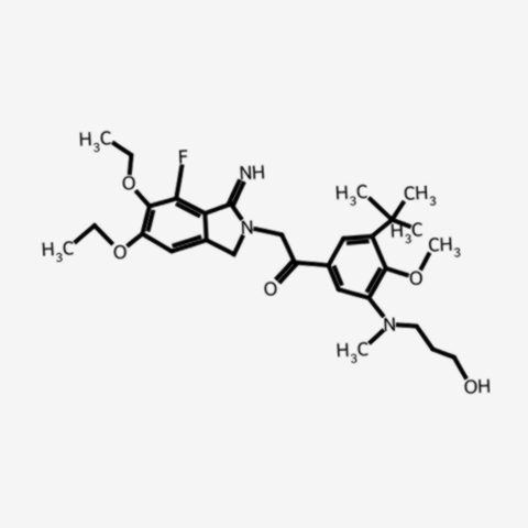 CCOc1cc2c(c(F)c1OCC)C(=N)N(CC(=O)c1cc(N(C)CCCO)c(OC)c(C(C)(C)C)c1)C2